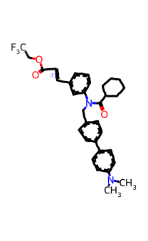 CN(C)c1ccc(-c2ccc(CN(C(=O)C3CCCCC3)c3cccc(/C=C/C(=O)OCC(F)(F)F)c3)cc2)cc1